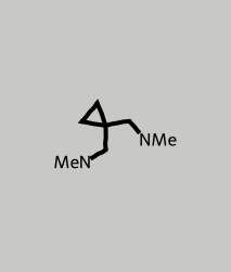 CNCC1(CNC)CC1